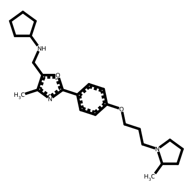 Cc1nc(-c2ccc(OCCCN3CCCC3C)cc2)oc1CNC1CCCC1